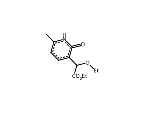 CCOC(=O)C(OCC)c1ccc(C)[nH]c1=O